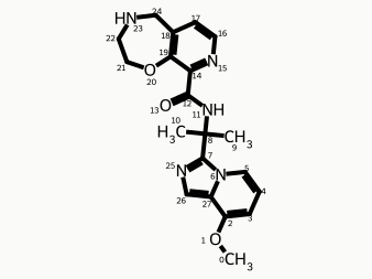 COc1cccn2c(C(C)(C)NC(=O)c3nccc4c3OCCNC4)ncc12